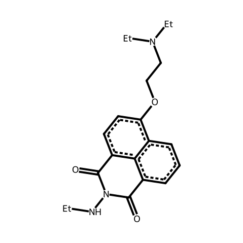 CCNN1C(=O)c2cccc3c(OCCN(CC)CC)ccc(c23)C1=O